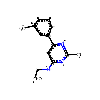 N#Cc1nc(NCC=O)cc(-c2cccc(C(F)(F)F)c2)n1